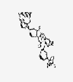 CNCc1nccn1-c1ccc(C2CC(=O)c3c(ncn3-c3cccc(C(N)=O)c3)CN2)c(F)c1